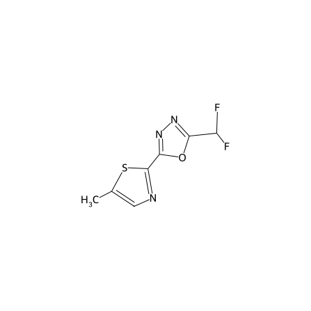 Cc1cnc(-c2nnc(C(F)F)o2)s1